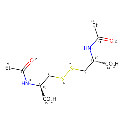 CCC(=O)N[C@@H](CSSC[C@H](NC(=O)CC)C(=O)O)C(=O)O